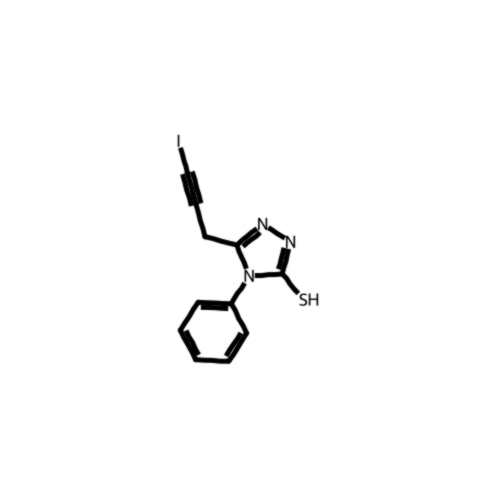 Sc1nnc(CC#CI)n1-c1ccccc1